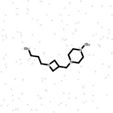 CC(C)(C)CCCN1CC(CN2CCN(C(C)(C)C)CC2)C1